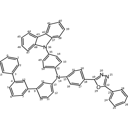 c1ccc(-c2cccc(-c3cccc(N(c4ccc(-c5nnc(-c6ccccc6)o5)cc4)c4ccc(-n5c6ccccc6c6ccccc65)cc4)c3)c2)cc1